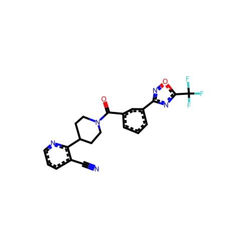 N#Cc1cccnc1C1CCN(C(=O)c2cccc(-c3noc(C(F)(F)F)n3)c2)CC1